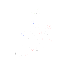 COc1ccc(-c2nsc(-c3nc(C(F)(F)F)cs3)c2C2=CC(=O)OC(CO)(CO)O2)cc1OC